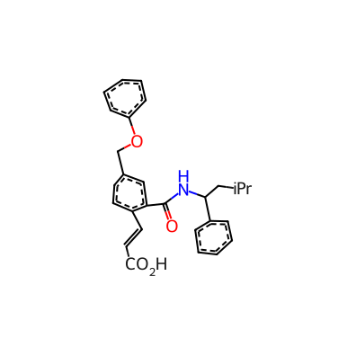 CC(C)CC(NC(=O)c1cc(COc2ccccc2)ccc1/C=C/C(=O)O)c1ccccc1